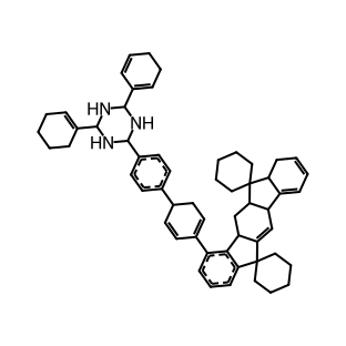 C1=CCC2C(=C1)C1C=C3C(CC1C21CCCCC1)c1c(C2=CCC(c4ccc(C5NC(C6=CCCC=C6)NC(C6=CCCCC6)N5)cc4)C=C2)cccc1C31CCCCC1